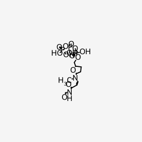 CN(/C=C\C(=O)NC=O)C1CCC(COP(=O)(O)OP(=O)(O)OP(=O)(O)O)O1